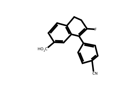 N#Cc1ccc(C2=C(F)CCc3ccc(C(=O)O)cc32)cc1